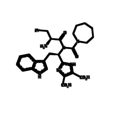 CC(C)C[C@H](N)C(=O)N(C(=O)N1CCCCCC1)[C@H](Cc1c[nH]c2ccccc12)c1nc(C(=O)O)c(C(=O)O)[nH]1